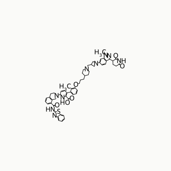 Cc1c(OCCCC2CCN(CC3CN(c4ccc5c(C6CCC(=O)NC6=O)nn(C)c5c4)C3)CC2)cccc1-c1ccc(N2CCc3cccc(C(=O)Nc4nc5ccccc5s4)c3C2)nc1C(=O)O